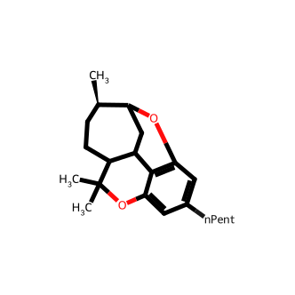 CCCCCc1cc2c3c(c1)OC(C)(C)C1CC[C@@H](C)C(CC31)O2